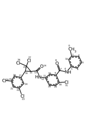 Cc1cccc(NC(=O)c2cc(NC(=O)C3C(c4cc(Cl)cc(Cl)c4)C3(Cl)Cl)ccc2Cl)c1